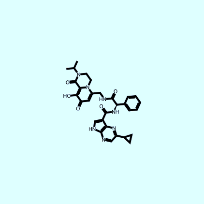 CC(C)N1CCn2c(CNC(=O)[C@H](NC(=O)c3c[nH]c4ncc(C5CC5)nc34)c3ccccc3)cc(=O)c(O)c2C1=O